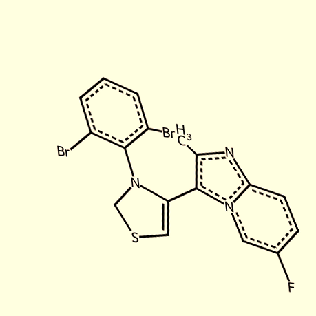 Cc1nc2ccc(F)cn2c1C1=CSCN1c1c(Br)cccc1Br